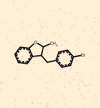 CCc1ccc(CC2[C](C)Oc3ccccc32)cc1